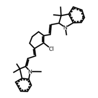 CN1/C(=C\C=C2/CCCC(/C=C/C3N(C)c4ccccc4C3(C)C)=C2Cl)C(C)(C)c2ccccc21